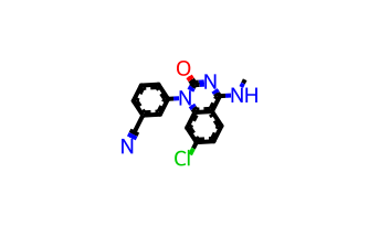 CNc1nc(=O)n(-c2cccc(C#N)c2)c2cc(Cl)ccc12